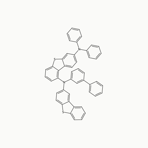 c1ccc(-c2cccc(N(c3ccc4sc5ccccc5c4c3)c3cccc4sc5cc(N(c6ccccc6)c6ccccc6)ccc5c34)c2)cc1